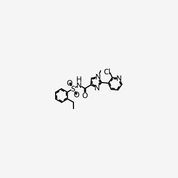 CCc1ccccc1S(=O)(=O)NC(=O)c1cn(C)c(-c2cccnc2Cl)n1